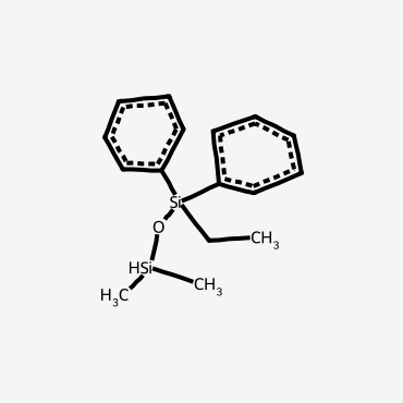 CC[Si](O[SiH](C)C)(c1ccccc1)c1ccccc1